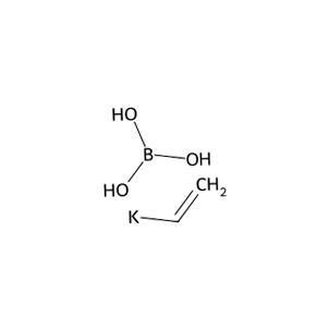 C=[CH][K].OB(O)O